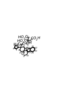 CN(C)C1(c2cccs2)CCC2(CC1)OCCc1c2[nH]c2ccccc12.O=C(O)CC(O)(CC(=O)O)C(=O)O